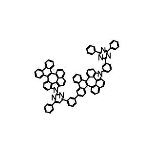 c1ccc(-c2cc(-c3cccc(-c4ccc5c6c(c7ccccc7c5c4)-c4cccc5c4c4c7c-6cccc7ccc4n5-c4cccc(-c5nc(-c6ccccc6)nc(-c6ccccc6)n5)c4)c3)nc(-n3c4cccc5c4c4c6c(cccc6ccc43)-c3c-5c4ccccc4c4ccccc34)n2)cc1